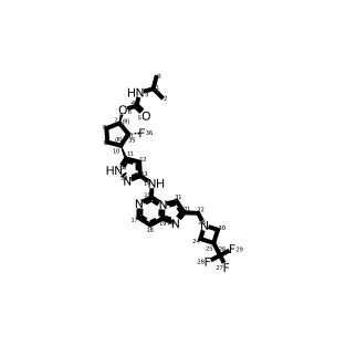 CC(C)NC(=O)O[C@@H]1CC[C@H](c2cc(Nc3nccc4nc(CN5CC(C(F)(F)F)C5)cn34)n[nH]2)[C@H]1F